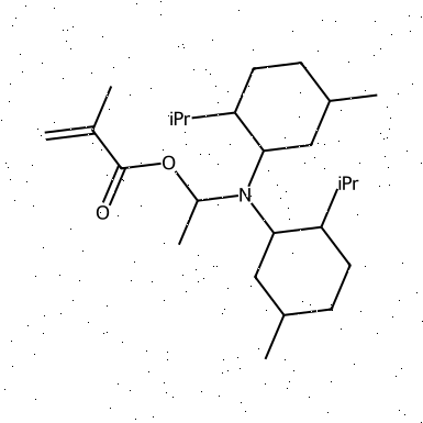 C=C(C)C(=O)OC(C)N(C1CC(C)CCC1C(C)C)C1CC(C)CCC1C(C)C